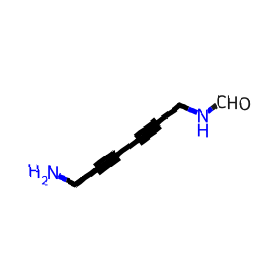 NCC#CC#CCNC=O